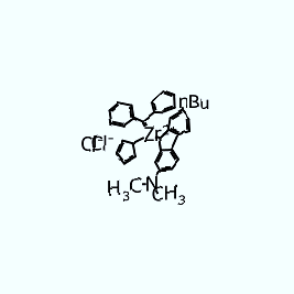 CCCCc1ccc2c(c1)[CH]([Zr+2](=[C](c1ccccc1)c1ccccc1)[CH]1C=CC=C1)c1cc(N(C)C)ccc1-2.[Cl-].[Cl-]